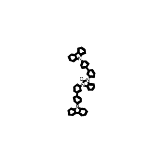 O=c1n(-c2cccc(-c3ccc(-n4c5ccccc5c5ccccc54)cc3)c2)c2ccccc2n1-c1cccc(-c2ccc(-n3c4ccccc4c4ccccc43)cc2)c1